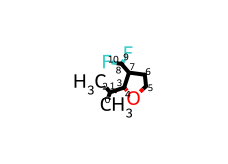 C[C](C)C1OCCC1C(F)F